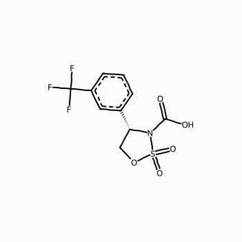 O=C(O)N1[C@@H](c2cccc(C(F)(F)F)c2)COS1(=O)=O